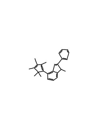 CC1=C(C)C(C)(C)C(c2cccc3c2[C]=C(c2ccccc2)C3C)=C1C